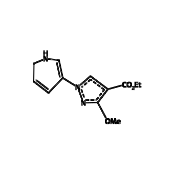 CCOC(=O)c1cn(C2=CNCC=C2)nc1OC